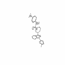 Cc1ccc(-c2nc([C@@H]3CCCN(C(=O)Nc4ccc(N(C)C)cc4)C3)n3ccccc23)s1